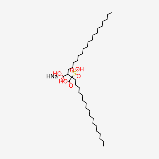 CCCCCCCCCCCCCCCCCCC(C(=O)O)C(CCCCCCCCCCCCCCCCCC)(C(=O)O)S(=O)(=O)O.[NaH]